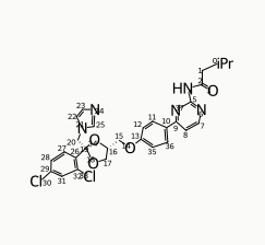 CC(C)CC(=O)Nc1nccc(-c2ccc(OC[C@@H]3CO[C@@](Cn4ccnc4)(c4ccc(Cl)cc4Cl)O3)cc2)n1